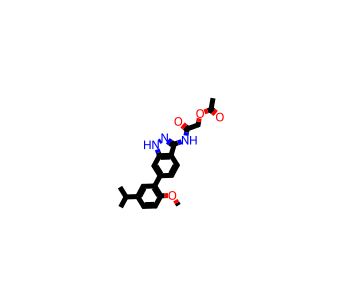 COc1ccc(C(C)C)cc1-c1ccc2c(NC(=O)COC(C)=O)n[nH]c2c1